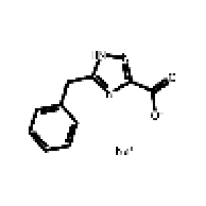 O=C([O-])c1n[nH]c(Cc2ccccc2)n1.[Na+]